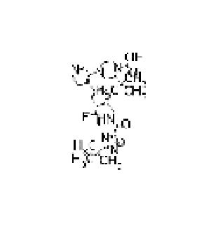 CC(C)(C)c1noc(C(=O)NCc2ccc(-c3ccncc3N3CCN(C(=O)O)C(C(C)(C)C)C3)cc2C(F)F)n1